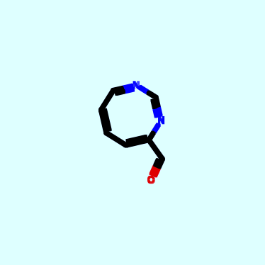 O=CC1=CC=CC=NC=N1